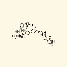 CN1CCN([C@@H]2CCCN(C3CNC(C(N)=O)C(Nc4ccc(C5CCN(CC6CCN(C7CCC([C@@H]8CCC(=O)NC8=O)CN7)CC6)CC5)cc4)N3)C2)C1=O